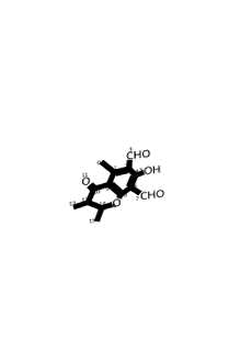 Cc1c(C=O)c(O)c(C=O)c2c1C(=O)C(C)C(C)O2